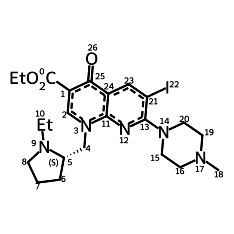 CCOC(=O)c1cn(C[C@@H]2CCCN2CC)c2nc(N3CCN(C)CC3)c(I)cc2c1=O